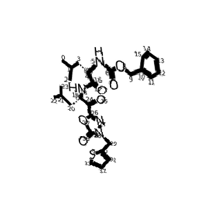 CC(C)C[C@H](NC(=O)OCc1ccccc1)C(=O)N[C@@H](CC(C)C)C(=O)c1nn(Cc2cccs2)c(=O)o1